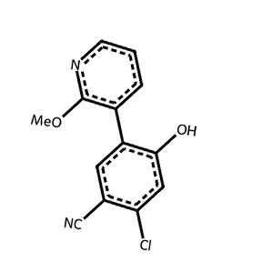 COc1ncccc1-c1cc(C#N)c(Cl)cc1O